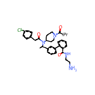 CC(C)C(=O)N1CCC(N(C(=O)Cc2ccc(Cl)cc2)C(C)c2cccc(-c3ccccc3C(=O)NCCN)c2)CC1